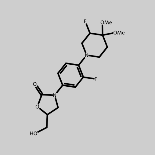 COC1(OC)CCN(c2ccc(N3CC(CO)OC3=O)cc2F)CC1F